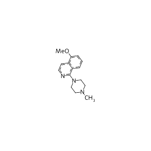 COc1cccc2c(N3CCN(C)CC3)nccc12